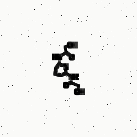 O=C(CO)Nc1cccc(NC(=O)CO)n1